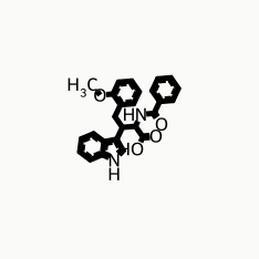 COc1ccccc1CC(c1c[nH]c2ccccc12)C(NC(=O)c1ccccc1)C(=O)O